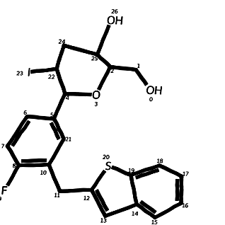 OCC1OC(c2ccc(F)c(Cc3cc4ccccc4s3)c2)C(I)CC1O